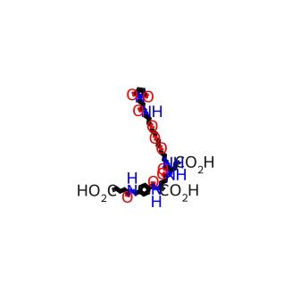 O=C(O)CCCC(=O)NCC1CCC(C(=O)NC(CCC(=O)NC(CCC(=O)O)C(=O)NCCCOCCOCCOCCCNC(=O)CCN2C(=O)C=CC2=O)C(=O)O)CC1